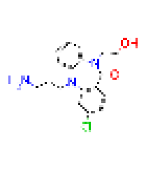 NCCCN1c2cc(Cl)ccc2C(=O)N(CCO)c2ccccc21